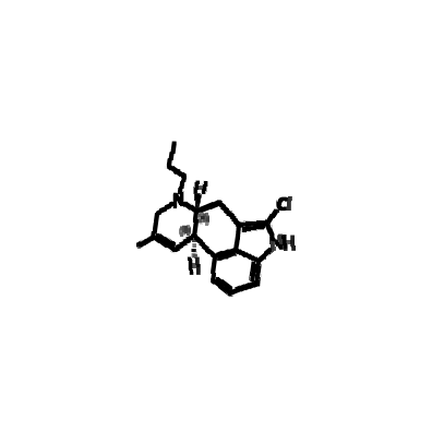 CCCN1CC(C)=C[C@@H]2c3cccc4[nH]c(Cl)c(c34)C[C@H]21